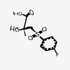 C[C@](O)(CS(=O)(=O)c1ccc(F)cc1)C(=O)O